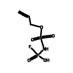 C=CCOS(=O)(=O)NP(=O)(O)F